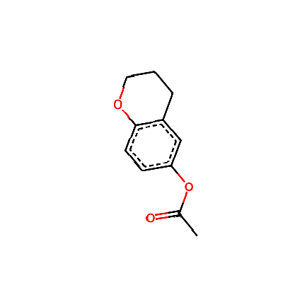 CC(=O)Oc1ccc2c(c1)CCCO2